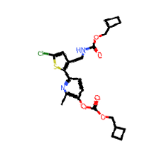 Cc1nc(-c2sc(Cl)cc2CNC(=O)OCC2CCC2)ccc1OC(=O)OCC1CCC1